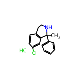 CC1(c2ccccc2)NCCc2ccc(Cl)cc21.Cl